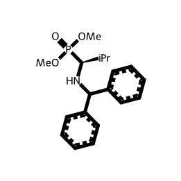 COP(=O)(OC)[C@H](NC(c1ccccc1)c1ccccc1)C(C)C